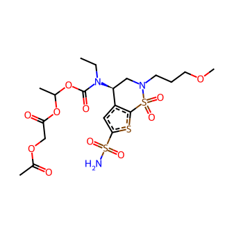 CCN(C(=O)OC(C)OC(=O)COC(C)=O)[C@H]1CN(CCCOC)S(=O)(=O)c2sc(S(N)(=O)=O)cc21